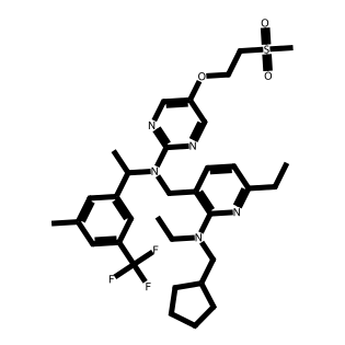 CCc1ccc(CN(c2ncc(OCCS(C)(=O)=O)cn2)C(C)c2cc(C)cc(C(F)(F)F)c2)c(N(CC)CC2CCCC2)n1